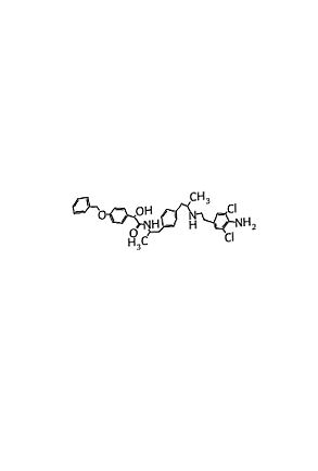 CC(Cc1ccc(CC(C)NC(=O)C(O)c2ccc(OCc3ccccc3)cc2)cc1)NCCc1cc(Cl)c(N)c(Cl)c1